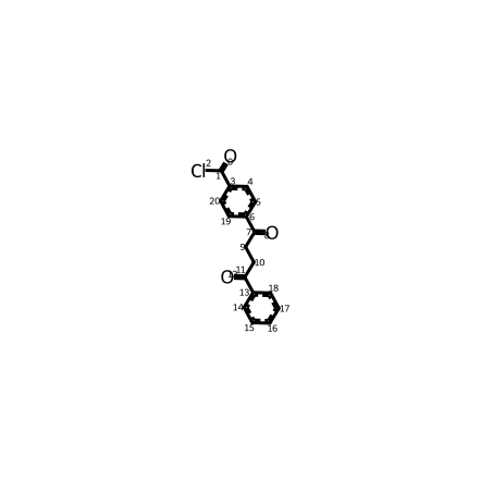 O=C(Cl)c1ccc(C(=O)CCC(=O)c2ccccc2)cc1